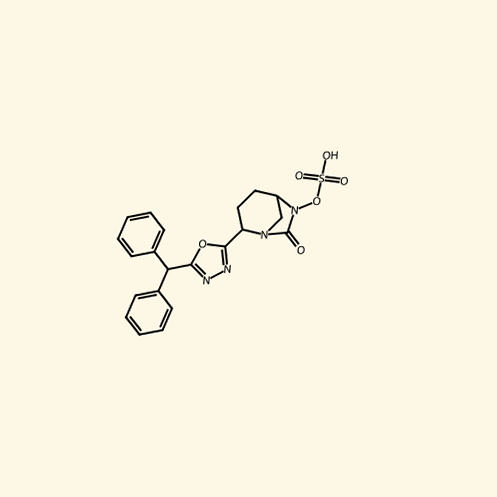 O=C1N2CC(CCC2c2nnc(C(c3ccccc3)c3ccccc3)o2)N1OS(=O)(=O)O